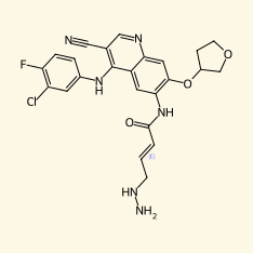 N#Cc1cnc2cc(OC3CCOC3)c(NC(=O)/C=C/CNN)cc2c1Nc1ccc(F)c(Cl)c1